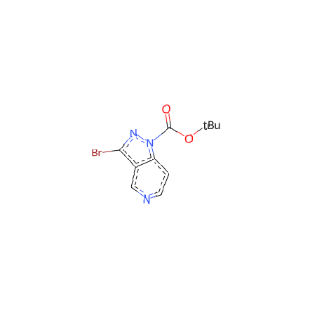 CC(C)(C)OC(=O)n1nc(Br)c2cnccc21